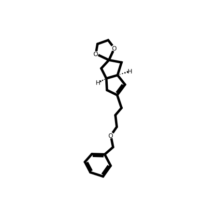 C1=C(CCCOCc2ccccc2)C[C@H]2CC3(C[C@@H]12)OCCO3